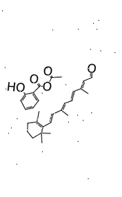 CC(=O)OC(=O)c1ccccc1O.CC1=C(/C=C/C(C)=C/C=C/C(C)=C/C=O)C(C)(C)CCC1